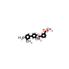 COC(=O)c1cccc(C(=O)Oc2ccc(-c3ccc(C)c(C)c3)cc2C)c1